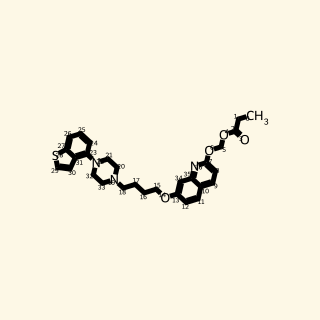 CCC(=O)OCOc1ccc2ccc(OCCCCN3CCN(c4cccc5sccc45)CC3)cc2n1